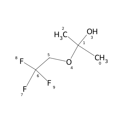 CC(C)(O)OCC(F)(F)F